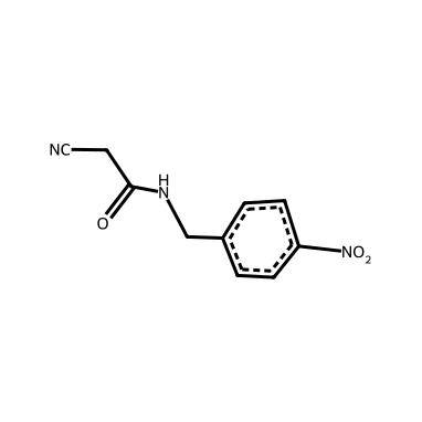 N#CCC(=O)NCc1ccc([N+](=O)[O-])cc1